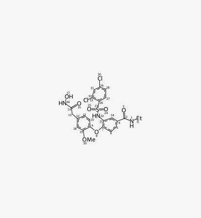 CCNC(=O)c1ccc(Oc2ccc(CC(=O)NO)cc2OC)c(NS(=O)(=O)c2ccc(Cl)cc2Cl)c1